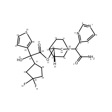 NC(=O)C(c1ccncn1)[N+]12CCC(CC1)[C@@H](OC(=O)C(O)(c1ccsc1)C1CCC(F)(F)C1)C2